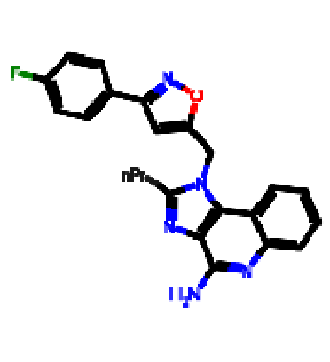 CCCc1nc2c(N)nc3ccccc3c2n1Cc1cc(-c2ccc(F)cc2)no1